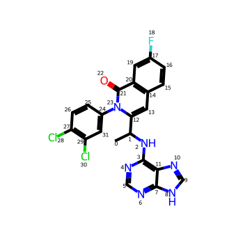 CC(Nc1ncnc2[nH]cnc12)c1cc2ccc(F)cc2c(=O)n1-c1ccc(Cl)c(Cl)c1